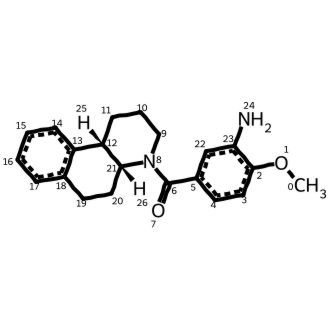 COc1ccc(C(=O)N2CCC[C@H]3c4ccccc4CC[C@H]32)cc1N